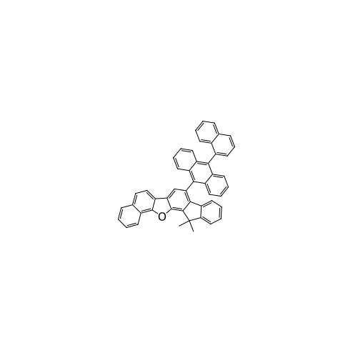 CC1(C)c2ccccc2-c2c(-c3c4ccccc4c(-c4cccc5ccccc45)c4ccccc34)cc3c(oc4c5ccccc5ccc34)c21